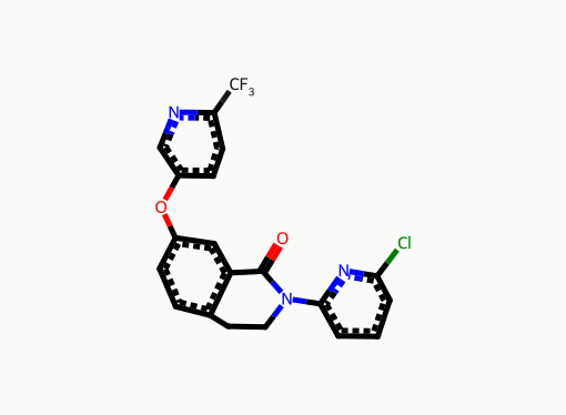 O=C1c2cc(Oc3ccc(C(F)(F)F)nc3)ccc2CCN1c1cccc(Cl)n1